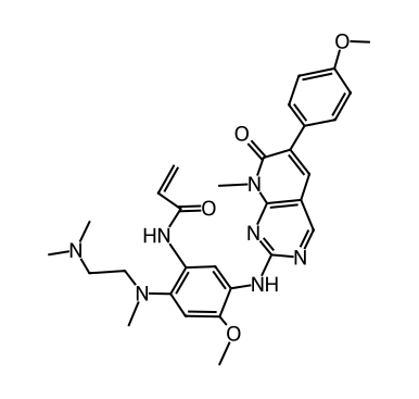 C=CC(=O)Nc1cc(Nc2ncc3cc(-c4ccc(OC)cc4)c(=O)n(C)c3n2)c(OC)cc1N(C)CCN(C)C